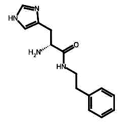 N[C@H](Cc1c[nH]cn1)C(=O)NCCc1ccccc1